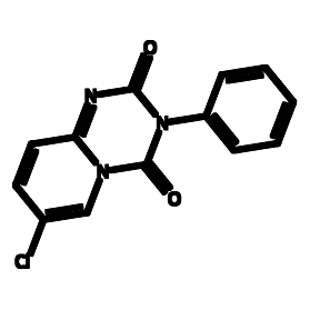 O=c1nc2ccc(Cl)cn2c(=O)n1-c1ccccc1